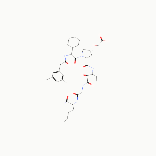 CCCCC(NC(=O)CNC(=O)C(=O)C(CC)NC(=O)[C@@H]1C[C@@H](OCC(=O)O)CN1C(=O)C(NC(=O)Cc1cc(C)cc(C)c1)C1CCCCC1)C(N)=O